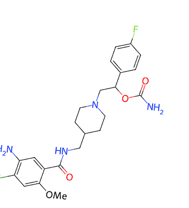 COc1cc(Cl)c(N)cc1C(=O)NCC1CCN(CC(OC(N)=O)c2ccc(F)cc2)CC1